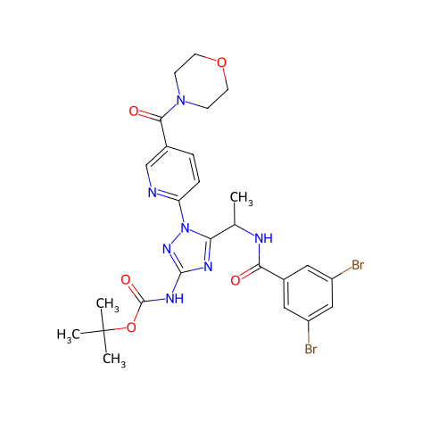 CC(NC(=O)c1cc(Br)cc(Br)c1)c1nc(NC(=O)OC(C)(C)C)nn1-c1ccc(C(=O)N2CCOCC2)cn1